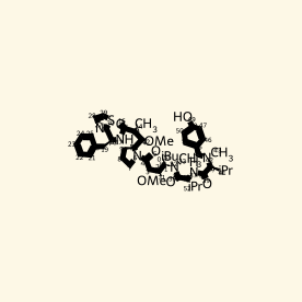 CC[C@H](C)[C@@H]([C@@H](CC(=O)N1CCC[C@H]1[C@H](OC)[C@@H](C)C(=O)N[C@@H](Cc1ccccc1)c1nccs1)OC)N(C)C(=O)[C@@H](NC(=O)[C@H](C(C)C)N(C)Cc1ccc(O)cc1)C(C)C